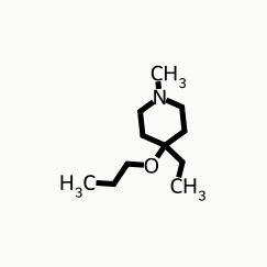 CCCOC1(CC)CCN(C)CC1